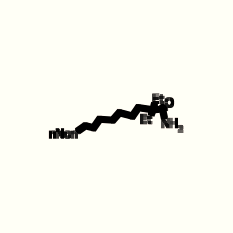 CCCCCCCCCCCCCCCCC(CC)(CC)C(N)=O